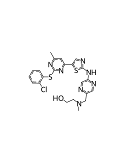 Cc1cc(-c2cnc(Nc3cnc(CN(C)CCO)cn3)s2)nc(Sc2ccccc2Cl)n1